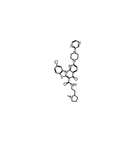 CN1CCCC1CCNC(=O)c1c(=O)c2ccc(N3CCN(c4cnccn4)CC3)nc2n2c1sc1ccc(Cl)cc12